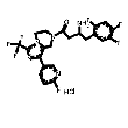 Cl.NC(CC(=O)N1CCn2c(C(F)(F)F)nc(-c3ccc(F)nc3)c2C1)Cc1cc(F)c(F)cc1F